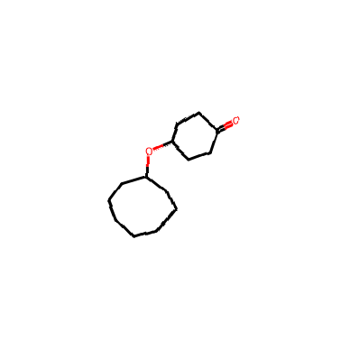 O=C1CCC(OC2CCCCCCC2)CC1